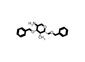 C[C@@H]1[C@H](OCc2ccccc2)C(N)CO[C@@H]1COCc1ccccc1